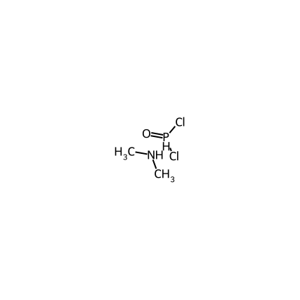 CNC.O=[PH](Cl)Cl